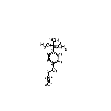 [C-]#[N+]COc1ccc(C(C)(C)C)cc1